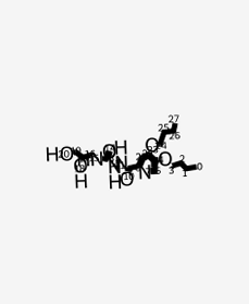 CCCCOc1cnc(C(=O)NNC(=O)NC[C@@H](O)CO)cc1OCCCC